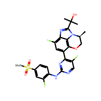 CNS(=O)(=O)c1ccc(Nc2ncc(F)c(-c3cc(F)c4nc(C(C)(C)O)n5c4c3OC[C@@H]5C)n2)c(F)c1